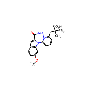 CC(C)(Cc1cccc(-n2c(C(N)=O)cc3ccc(OC(F)(F)F)cc32)n1)C(=O)O